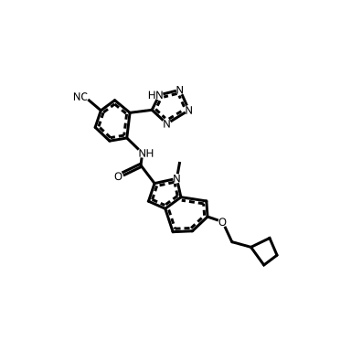 Cn1c(C(=O)Nc2ccc(C#N)cc2-c2nnn[nH]2)cc2ccc(OCC3CCC3)cc21